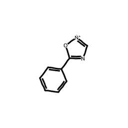 C1=[N+]OC(c2ccccc2)=N1